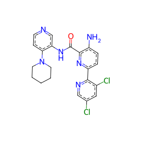 Nc1ccc(-c2ncc(Cl)cc2Cl)nc1C(=O)Nc1cnccc1N1CCCCC1